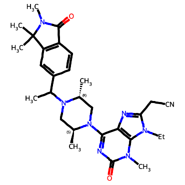 CCn1c(CC#N)nc2c(N3C[C@@H](C)N(C(C)c4ccc5c(c4)C(C)(C)N(C)C5=O)C[C@@H]3C)nc(=O)n(C)c21